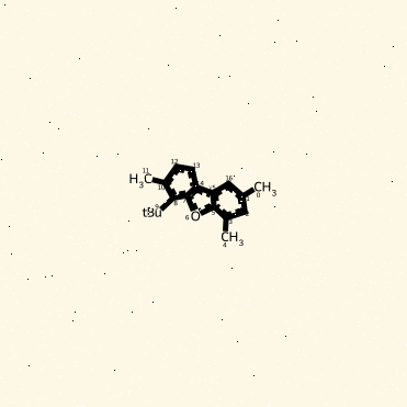 Cc1cc(C)c2oc3c(C(C)(C)C)c(C)ccc3c2c1